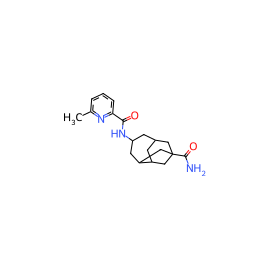 Cc1cccc(C(=O)NC2CC3CC4CC(C(N)=O)(C3)CC4C2)n1